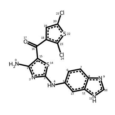 Nc1nc(Nc2ccc3nc[nH]c3c2)sc1C(=O)c1cc(Cl)sc1Cl